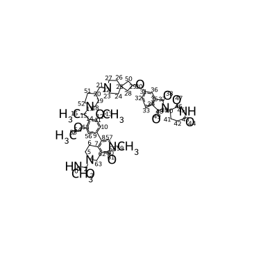 CNC(=O)N1CCc2c(-c3cc(OC)c(C(C)N4CCC(CN5CCC6(CC5)CC(Oc5ccc7c(c5)C(=O)N(C5CCC(=O)NC5=O)C7=O)C6)CC4)c(OC)c3)cn(C)c(=O)c2C1